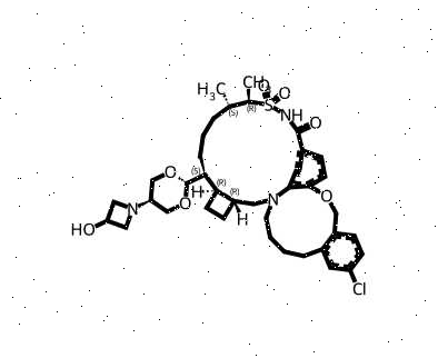 C[C@@H]1[C@@H](C)CCC[C@H]([C@H]2OC[C@H](N3CC(O)C3)CO2)[C@@H]2CC[C@H]2CN2CCCCc3cc(Cl)ccc3COc3ccc(cc32)C(=O)NS1(=O)=O